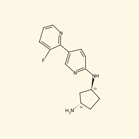 N[C@H]1CC[C@H](Nc2ccc(-c3ncccc3F)cn2)C1